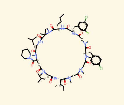 CCCC[C@@H]1NC(=O)[C@H](Cc2cc(F)cc(Cl)c2)NC(=O)CN(C)C(=O)[C@H](Cc2ccc(Cl)cc2)N(C)C(=O)CN(C)C(=O)CN(C)C(=O)[C@H]([C@@H](C)CC)NC(=O)[C@H](CC(C)C)N(C)C(=O)C[C@@H](C(=O)N2CCCCC2)N(C)C(=O)[C@H](CC(C)C)NC(=O)C(C)(C)N(C)C1=O